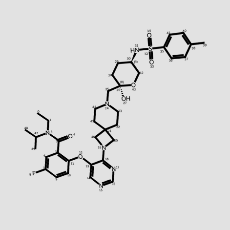 CCN(C(=O)c1cc(F)ccc1Oc1cncnc1N1CC2(CCN(C[C@@]3(O)CC[C@@H](NS(=O)(=O)c4ccc(C)cc4)CO3)CC2)C1)C(C)C